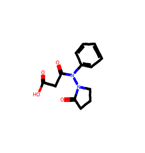 O=C(O)CC(=O)N(c1ccccc1)N1CCCC1=O